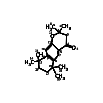 CC1(C)CC(=O)c2cc3c(cc2O1)C(C)(C)CCC3(C)C